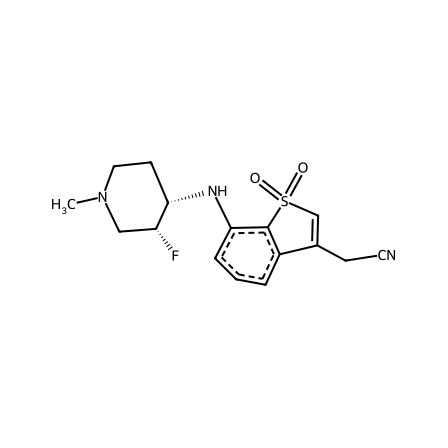 CN1CC[C@H](Nc2cccc3c2S(=O)(=O)C=C3CC#N)[C@H](F)C1